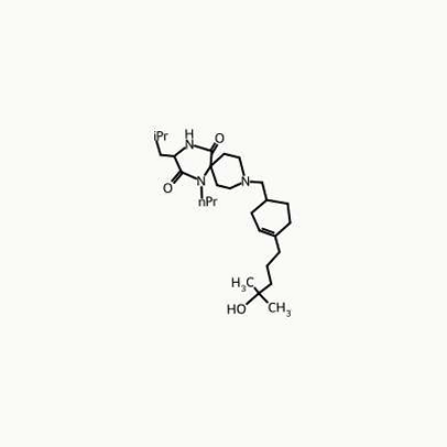 CCCN1C(=O)C(CC(C)C)NC(=O)C12CCN(CC1CC=C(CCCC(C)(C)O)CC1)CC2